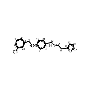 Clc1cccc(COc2ccc(CNCCc3ccco3)cc2)c1